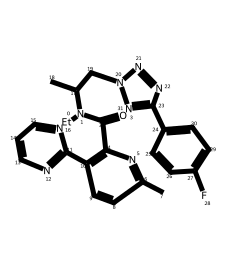 CCN(C(=O)c1nc(C)ccc1-c1ncccn1)C(C)Cn1nnc(-c2ccc(F)cc2)n1